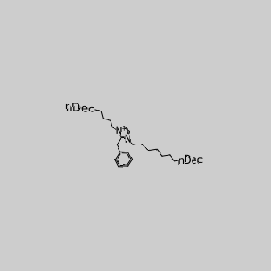 CCCCCCCCCCCCCCCCCn1cc[n+](CCCCCCCCCCCCCC)c1Cc1ccccc1